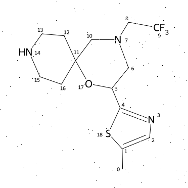 Cc1cnc(C2CN(CC(F)(F)F)CC3(CCNCC3)O2)s1